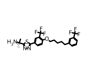 [CH2][C@@](C)(N)c1nnc(-c2ccc(OCCCCCc3cccc(C(F)(F)F)c3)c(C(F)(F)F)c2)s1